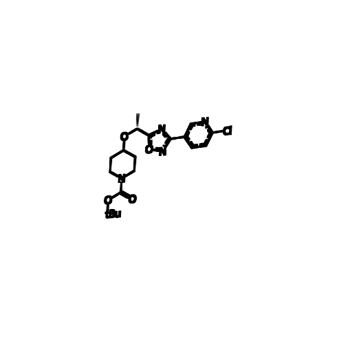 C[C@@H](OC1CCN(C(=O)OC(C)(C)C)CC1)c1nc(-c2ccc(Cl)nc2)no1